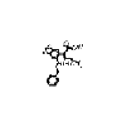 CCCC(C(=O)O)c1cc2c(cc1C(O)CCc1ccccc1)OCO2